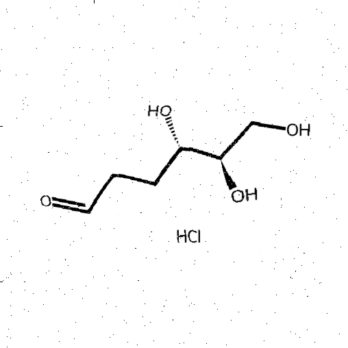 Cl.O=CCC[C@H](O)[C@H](O)CO